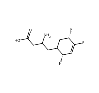 NC(CC(=O)O)CC1C[C@H](F)C(F)=C[C@@H]1F